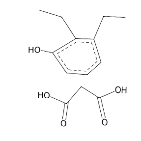 CCc1cccc(O)c1CC.O=C(O)CC(=O)O